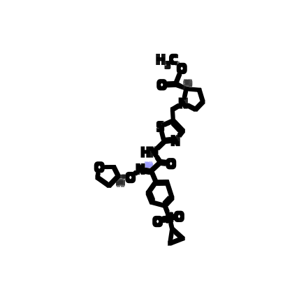 COC(=O)[C@H]1CCCN1Cc1cnc(NC(=O)/C(=N/O[C@@H]2CCOC2)c2ccc(S(=O)(=O)C3CC3)cc2)s1